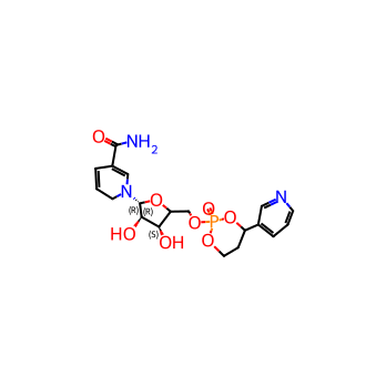 NC(=O)C1=CN([C@@H]2OC(COP3(=O)OCCC(c4cccnc4)O3)[C@@H](O)[C@H]2O)CC=C1